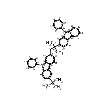 CC(C)(C)c1ccc2c(c1)c1ccc(CC(C)(C)c3ccc4c5ccccc5n(-c5ccccc5)c4c3)cc1n2-c1ccccc1